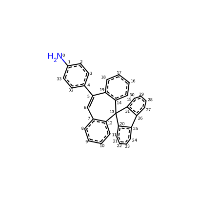 Nc1ccc(C2=Cc3ccccc3C3(c4ccccc42)c2ccccc2-c2ccccc23)cc1